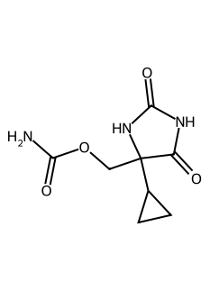 NC(=O)OCC1(C2CC2)NC(=O)NC1=O